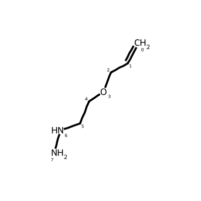 C=CCOCCNN